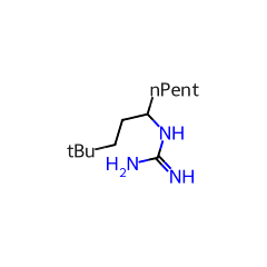 CCCCCC(CCC(C)(C)C)NC(=N)N